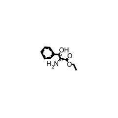 CCOC(=O)[C@@H](N)[C@@H](O)c1ccccc1